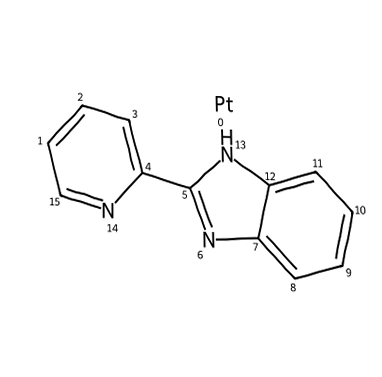 [Pt].c1ccc(-c2nc3ccccc3[nH]2)nc1